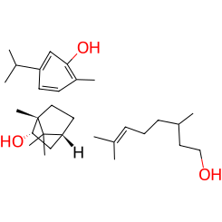 CC(C)=CCCC(C)CCO.CC1(C)[C@@H]2CC[C@@]1(C)[C@@H](O)C2.Cc1ccc(C(C)C)cc1O